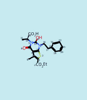 CCOC(=O)c1sc2c(c1C)C(=O)N([C@@H](C)C(=O)O)C(O)N2CCc1ccccc1